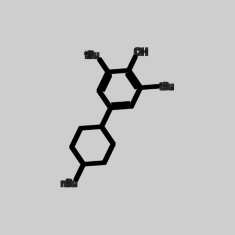 CCCCC1CCC(c2cc(C(C)(C)C)c(O)c(C(C)(C)C)c2)CC1